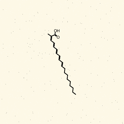 CCCCCCCCCC=CC=CC=CC=CC=C(C)C(=O)O